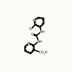 O=C(Nc1cccnc1Cl)Nc1ncccc1C(=O)O